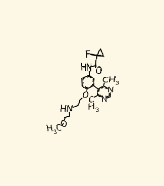 COCCNCCOc1ccc(NC(=O)C2(F)CC2)cc1-c1c(C)ncnc1C